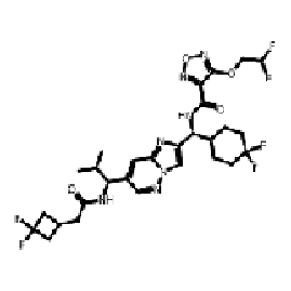 CC(C)C(NC(=O)CC1CC(F)(F)C1)c1cnn2cc([C@@H](NC(=O)c3nonc3OCC(F)F)C3CCC(F)(F)CC3)nc2c1